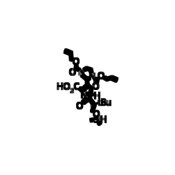 C=CCOC(=O)N1CCN(C(=O)OCC=C)C(C2=C(C(=O)O)N3C(=O)[C@@H]([C@@H](CO[SiH](C)C)C(C)(C)C)[C@H]3C2)C1